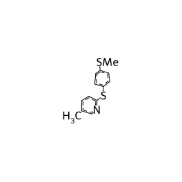 CSc1ccc(Sc2ccc(C)cn2)cc1